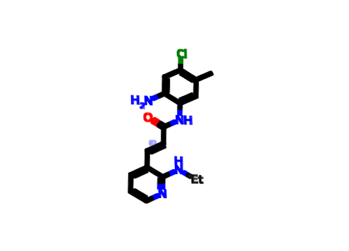 CCNc1ncccc1/C=C/C(=O)Nc1cc(C)c(Cl)cc1N